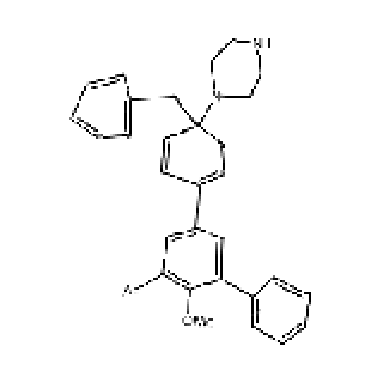 COc1c(C(C)=O)cc(C2=CCC(Cc3ccccc3)(N3CCNCC3)C=C2)cc1-c1ccccc1